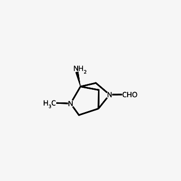 CN1CC2C[C@@]1(N)CN2C=O